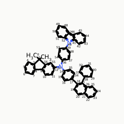 CC1(C)c2ccccc2-c2ccc(N(c3ccc(-c4ccc5ccccc5c4-c4ccccc4)cc3)c3ccc(-n4c5ccccc5c5ccccc54)cc3)cc21